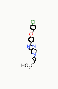 O=C(O)CC1CC(N2CCc3nc(-c4ccc(OCc5ccc(Cl)cc5)cc4)ncc3C2)C1